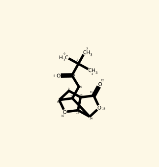 CC(C)(C)C(=O)CC1C2CC3C(=O)OC1C3O2